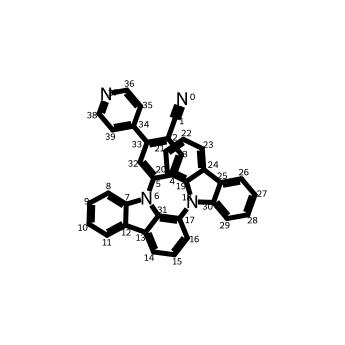 N#Cc1ccc(-n2c3ccccc3c3cccc(-n4c5ccccc5c5ccccc54)c32)cc1-c1ccncc1